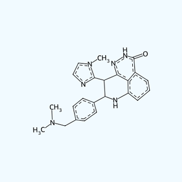 CN(C)Cc1ccc(C2Nc3cccc4c(=O)[nH]nc(c34)C2c2nccn2C)cc1